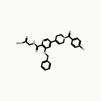 COC(=O)CNC(=O)c1ncc(C2=CCN(C(=O)c3ccc(Cl)cc3)CC2)cc1OCc1ccccc1